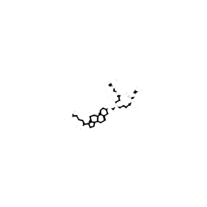 CC(C)CCCC(C)C1CCC2C3CC=C4CC(OC(=O)N(CCCC(C)(C)NC(=O)OC(C)(C)C)CCC(C)(C)NC(=O)OC(C)(C)C)CCC4(C)C3CCC12C